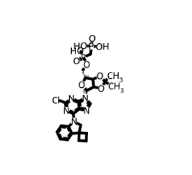 CC1(C)OC2C(O1)[C@@H](COP(=O)(O)CP(=O)(O)O)O[C@H]2n1cnc2c(N3CC4(CCC4)c4ccccc43)nc(Cl)nc21